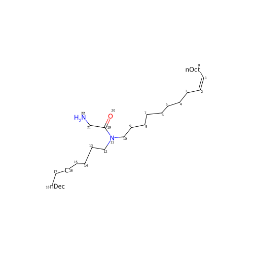 CCCCCCCC/C=C\CCCCCCCCN(CCCCCCCCCCCCCCCC)C(=O)CN